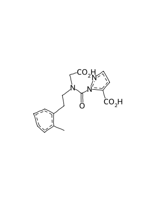 Cc1ccccc1CCN(CC(=O)O)C(=O)n1nccc1C(=O)O